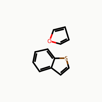 c1ccc2sccc2c1.c1ccoc1